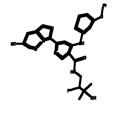 CC(C)Oc1cccc(Nc2cc(-c3ccc4cc(C#N)cnn34)ncc2C(=O)NCC(F)C(C)(C)O)c1